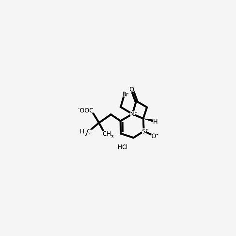 CC(C)(CC1=CC[S+]([O-])[C@H]2CC(=O)[N+]12CBr)C(=O)[O-].Cl